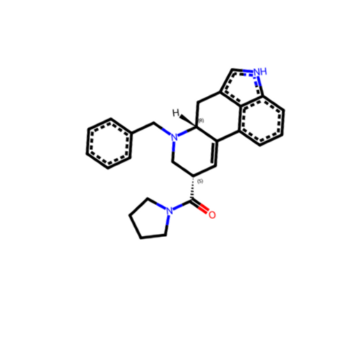 O=C([C@H]1C=C2c3cccc4[nH]cc(c34)C[C@H]2N(Cc2ccccc2)C1)N1CCCC1